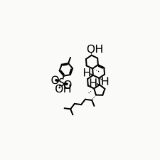 CC(C)CCCC(C)[C@H]1CC[C@H]2[C@@H]3CC=C4C[C@@H](O)CC[C@]4(C)[C@H]3CC[C@]12C.Cc1ccc(S(=O)(=O)O)cc1